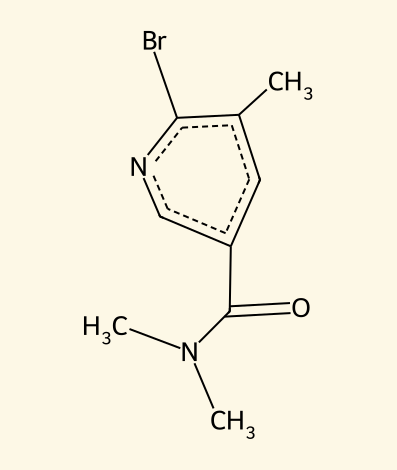 Cc1cc(C(=O)N(C)C)cnc1Br